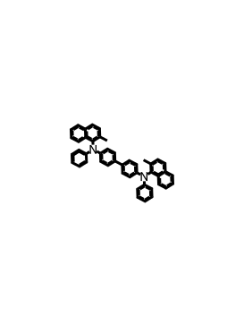 Cc1ccc2ccccc2c1N(C1=C=C=CC=C1)c1ccc(-c2ccc(N(c3ccccc3)c3c(C)ccc4ccccc34)cc2)cc1